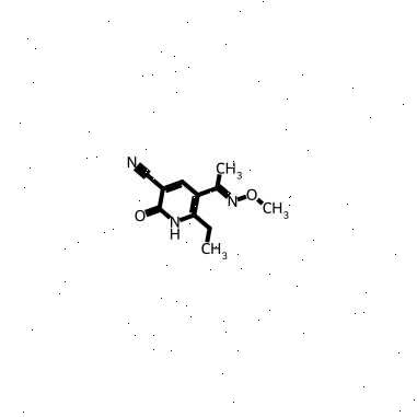 CCc1[nH]c(=O)c(C#N)cc1/C(C)=N/OC